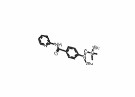 CC(C)(C)N(O[Si](C)(C)C(C)(C)C)c1ccc(C(=O)Nc2ccccn2)cc1